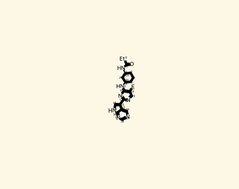 CCC(=O)N[C@H]1CCC[C@@H](Nc2nc(-c3c[nH]c4ncncc34)ncc2F)C1